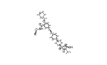 CC(C)[C@@H](NS(=O)(=O)N1CCN(c2ccc(C#Cc3ccc(OCC4CCOCC4)c(C(=O)NCC#N)c3)cc2)CC1)C(=O)O